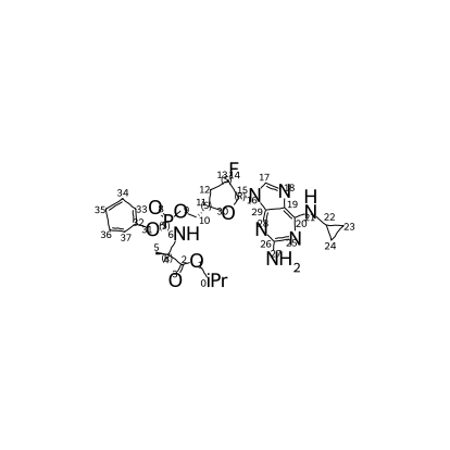 CC(C)OC(=O)[C@@H](C)N[P@](=O)(OC[C@@H]1C[C@H](F)[C@H](n2cnc3c(NC4CC4)nc(N)nc32)O1)Oc1ccccc1